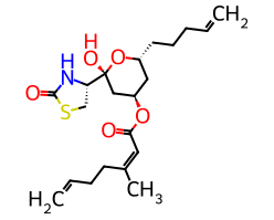 C=CCCC[C@@H]1C[C@@H](OC(=O)C=C(C)CCC=C)C[C@](O)([C@@H]2CSC(=O)N2)O1